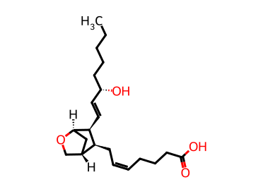 CCCCC[C@H](O)/C=C/[C@H]1[C@@H](C/C=C\CCCC(=O)O)[C@@H]2CO[C@@H]1C2